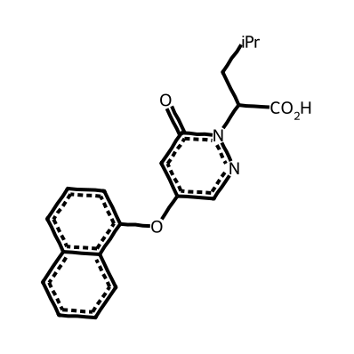 CC(C)CC(C(=O)O)n1ncc(Oc2cccc3ccccc23)cc1=O